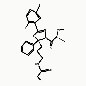 CO[C@H](C)C(=O)N1N=C(c2cc(F)ccc2F)S[C@@]1(CCCNC(=N)CF)c1ccccc1